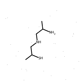 CC(N)CNCC(C)S